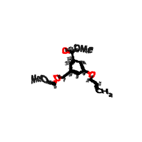 C=CCOc1cc(COCOC)cc(C(=O)OC)c1